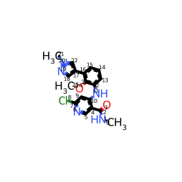 CNC(=O)c1cnc(Cl)cc1Nc1cccc(-c2cnn(C)c2)c1OC